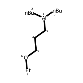 CCC[CH2][Al]([CH2]CCC)[CH2]CCOCC